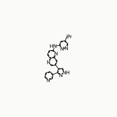 CC(C)c1cnnc(Nc2ccc3ncc(-c4c[nH]nc4-c4cccnc4)cc3n2)c1